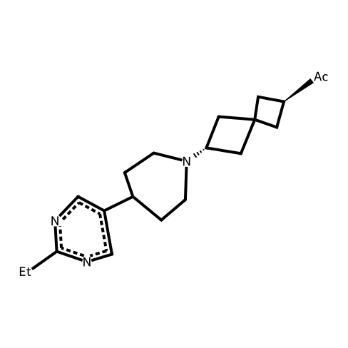 CCc1ncc(C2CCN([C@H]3CC4(C[C@H](C(C)=O)C4)C3)CC2)cn1